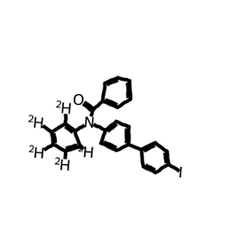 [2H]c1c([2H])c([2H])c(N(C(=O)c2ccccc2)c2ccc(-c3ccc(I)cc3)cc2)c([2H])c1[2H]